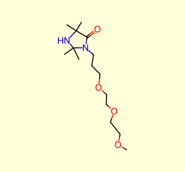 COCCOCCOCCCN1C(=O)C(C)(C)NC1(C)C